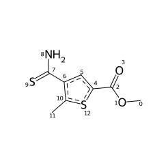 COC(=O)c1cc(C(N)=S)c(C)s1